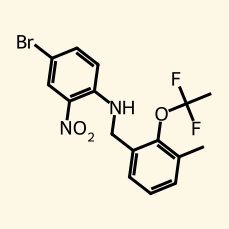 Cc1cccc(CNc2ccc(Br)cc2[N+](=O)[O-])c1OC(C)(F)F